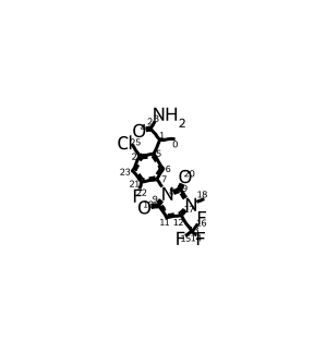 CC(C(N)=O)c1cc(-n2c(=O)cc(C(F)(F)F)n(C)c2=O)c(F)cc1Cl